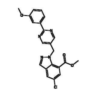 COC(=O)c1cc(Cl)cc2cnn(Cc3cnc(-c4cccc(OC)c4)nc3)c12